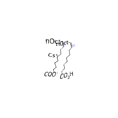 CCCCCCCC/C=C\CCCCCCCC(=O)O.CCCCCCCC/C=C\CCCCCCCC(=O)[O-].[Cs+]